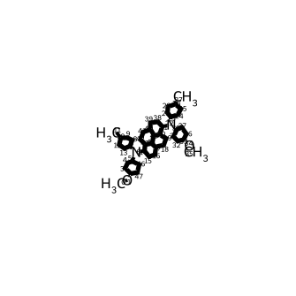 COc1ccc(N(c2ccc(C)cc2)c2ccc3ccc4c(N(c5ccc(C)cc5)c5ccc(OC)cc5)ccc5ccc2c3c54)cc1